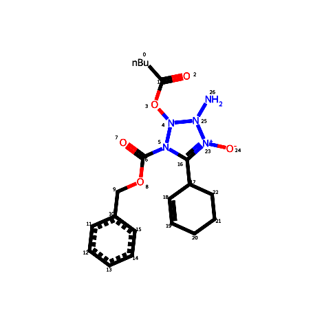 CCCCC(=O)ON1N(C(=O)OCc2ccccc2)C(C2C=CCCC2)=[N+]([O-])N1N